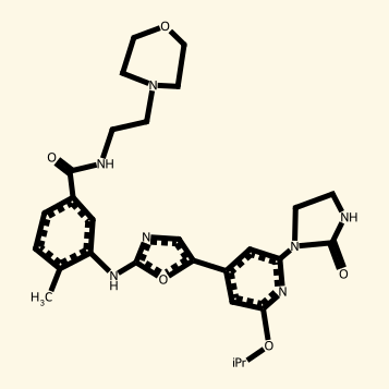 Cc1ccc(C(=O)NCCN2CCOCC2)cc1Nc1ncc(-c2cc(OC(C)C)nc(N3CCNC3=O)c2)o1